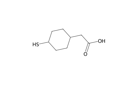 O=C(O)CC1CCC(S)CC1